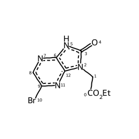 CCOC(=O)Cn1c(=O)[nH]c2ncc(Br)nc21